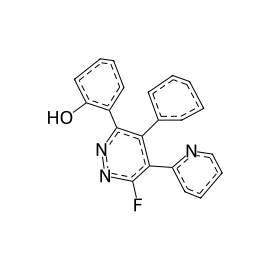 Oc1ccccc1-c1nnc(F)c(-c2ccccn2)c1-c1ccccc1